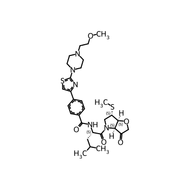 COCCN1CCN(c2nc(-c3ccc(C(=O)N[C@@H](CC(C)C)C(=O)N4C[C@H](SC)[C@H]5OCC(=O)[C@H]54)cc3)cs2)CC1